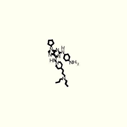 CCCN(CCC)CCCC1CCN(Nc2nc(N[C@H]3CC[C@H](N)CC3)nc3c2ncn3C2CCCC2)CC1